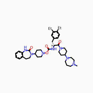 CCc1ccc(C[C@@H](NC(=O)ON2CCC(N3CCc4ccccc4NC3=O)CC2)C(=O)N2CCC(N3CCCN(C)CC3)CC2)cc1CC